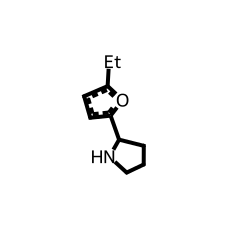 CCc1ccc(C2CCCN2)o1